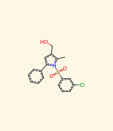 Cc1c(CO)cc(-c2ccccc2)n1S(=O)(=O)c1cccc(Cl)c1